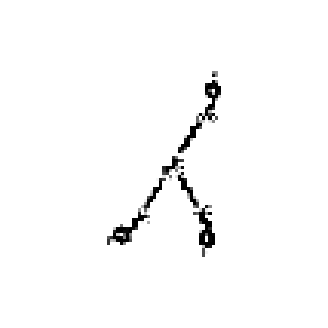 O=C(C=Cc1ccc(F)cc1)OCCCCCCOCC(COCCCCCCOC(=O)C=Cc1ccc(F)cc1)OCCCCCCOC(=O)C=Cc1ccc(F)cc1